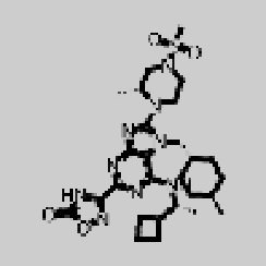 C[C@@H]1CN(S(C)(=O)=O)CCN1c1nc2nc(-c3noc(=O)[nH]3)nc(N[C@H](C)C3CCC3)c2n1C[C@H]1CC[C@H](C)CC1